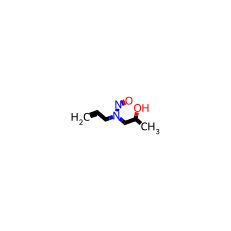 C=CCN(CC(C)O)N=O